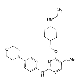 COc1cnc(Nc2ccc(N3CCOCC3)cc2)nc1OCC1CCC(NCC(F)(F)F)CC1